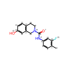 Cc1ccc(NC(=O)N2CCc3ccc(O)cc3C2)cc1F